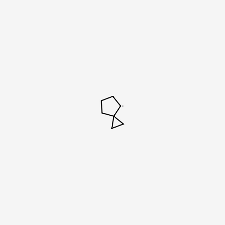 [CH]1CCCC12CC2